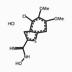 COc1cc2sc(C(=N)NO)cc2c(Cl)c1OC.Cl